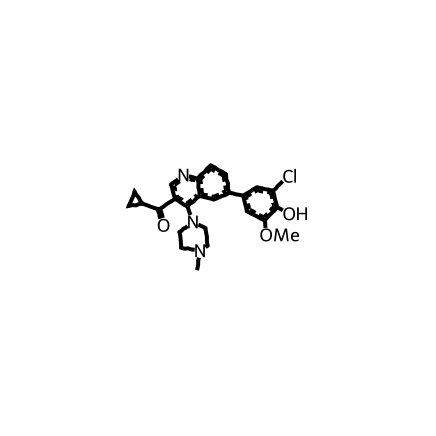 COc1cc(-c2ccc3ncc(C(=O)C4CC4)c(N4CCN(C)CC4)c3c2)cc(Cl)c1O